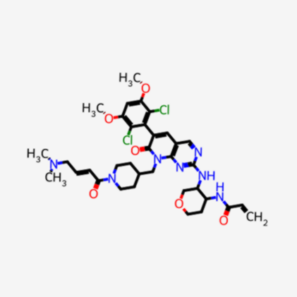 C=CC(=O)NC1CCOCC1Nc1ncc2cc(-c3c(Cl)c(OC)cc(OC)c3Cl)c(=O)n(CC3CCN(C(=O)/C=C/CN(C)C)CC3)c2n1